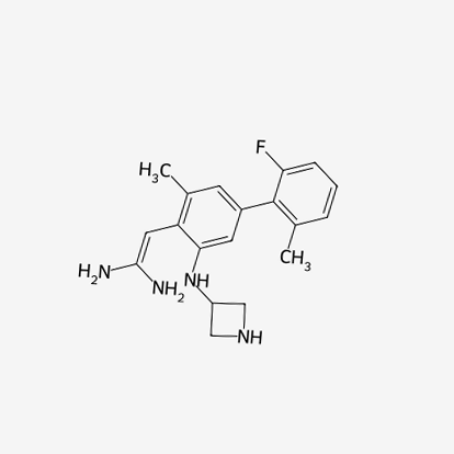 Cc1cc(-c2c(C)cccc2F)cc(NC2CNC2)c1C=C(N)N